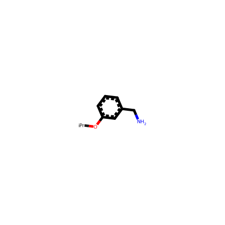 CC(C)Oc1cc[c]c(CN)c1